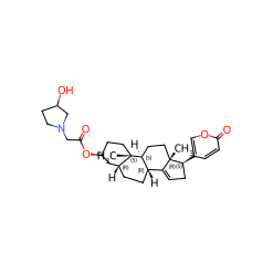 C[C@]12CC[C@H](OC(=O)CN3CCC(O)C3)C[C@H]1CC[C@H]1C3=CC[C@H](c4ccc(=O)oc4)[C@@]3(C)CC[C@@H]12